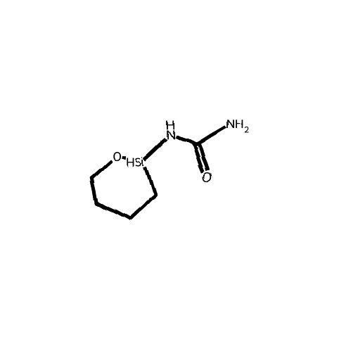 NC(=O)N[SiH]1CCCCO1